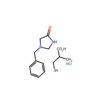 CC(C)CC(C)C(=O)O.Cl.O=C1CN(Cc2ccccc2)CN1